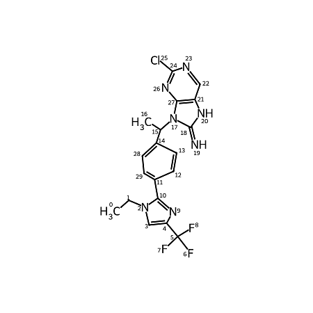 CCn1cc(C(F)(F)F)nc1-c1ccc(C(C)n2c(=N)[nH]c3cnc(Cl)nc32)cc1